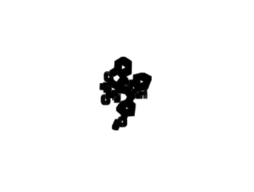 CCOc1ccc(C2Nc3ccccc3-n3c(-c4ccccc4C)c4c(=O)n(C)c(=O)n(C)c4c32)cc1